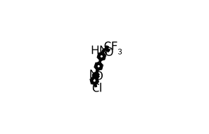 O=C(Nc1ccc(-c2ccc(-c3nc4ccc(Cl)cc4o3)cc2)cc1)C(F)(F)F